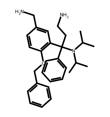 CC(C)N(C(C)C)C(CCN)(c1ccccc1)c1cc(CN)ccc1OCc1ccccc1